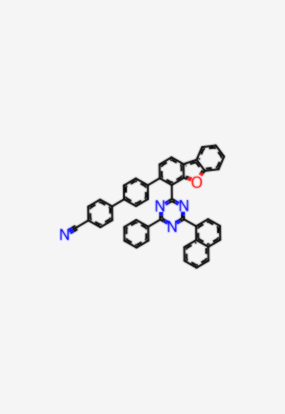 N#Cc1ccc(-c2ccc(-c3ccc4c(oc5ccccc54)c3-c3nc(-c4ccccc4)nc(-c4cccc5ccccc45)n3)cc2)cc1